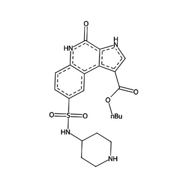 CCCCOC(=O)c1c[nH]c2c(=O)[nH]c3ccc(S(=O)(=O)NC4CCNCC4)cc3c12